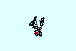 c1ccc(-c2cccc3cccc(-c4ccccc4N(c4ccc(-c5cccc6c5oc5ccccc56)cc4)c4cccc(-c5ccc6c(c5)oc5ccccc56)c4)c23)cc1